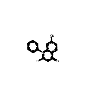 CCc1cc(=O)c2ccc(C#N)cc2n1-c1ccccc1